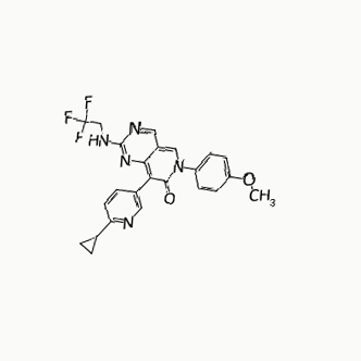 COc1ccc(-n2cc3cnc(NCC(F)(F)F)nc3c(-c3ccc(C4CC4)nc3)c2=O)cc1